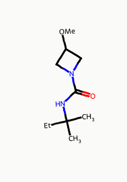 CCC(C)(C)NC(=O)N1CC(OC)C1